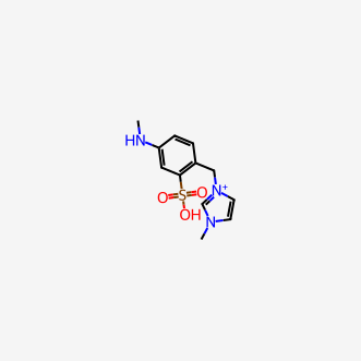 CNc1ccc(C[n+]2ccn(C)c2)c(S(=O)(=O)O)c1